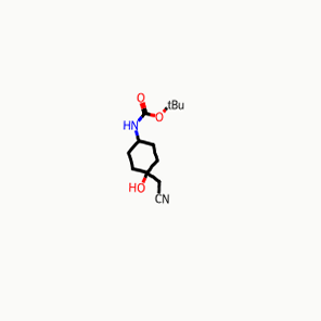 CC(C)(C)OC(=O)NC1CCC(O)(CC#N)CC1